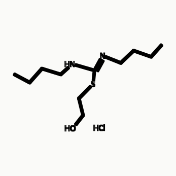 CCCCN=C(NCCCC)SCCO.Cl